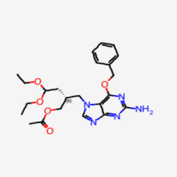 CCOC(C[C@@H](COC(C)=O)Cn1cnc2nc(N)nc(OCc3ccccc3)c21)OCC